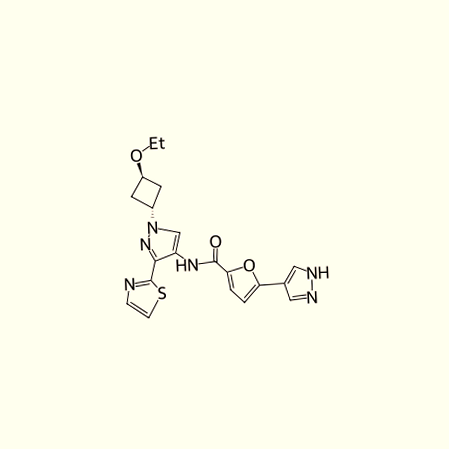 CCO[C@H]1C[C@H](n2cc(NC(=O)c3ccc(-c4cn[nH]c4)o3)c(-c3nccs3)n2)C1